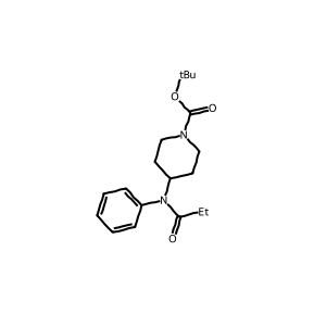 CCC(=O)N(c1ccccc1)C1CCN(C(=O)OC(C)(C)C)CC1